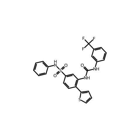 O=C(Nc1cccc(C(F)(F)F)c1)Nc1cc(S(=O)(=O)Nc2ccccc2)ccc1-c1cccs1